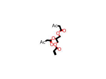 C=CC(=O)OCC(COC(=O)CC(C)=O)OC(=O)CC(C)=O